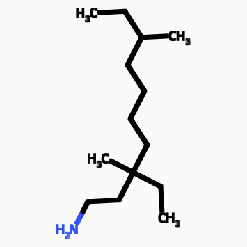 CCC(C)CCCCC(C)(CC)CCN